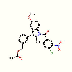 COc1ccc2c(c1)c(-c1cccc(COC(C)=O)c1)c(C)n2C(=O)c1ccc(Cl)c([N+](=O)[O-])c1